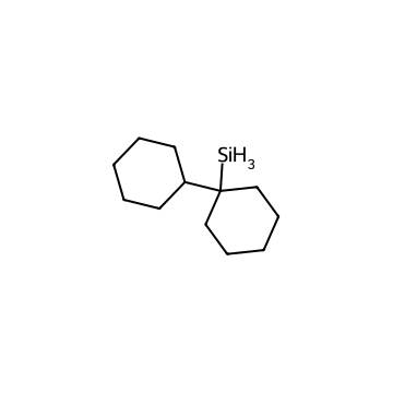 [SiH3]C1(C2CCCCC2)CCCCC1